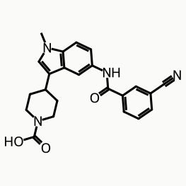 Cn1cc(C2CCN(C(=O)O)CC2)c2cc(NC(=O)c3cccc(C#N)c3)ccc21